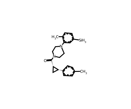 Cc1ccc([C@@H]2C[C@@H]2C(=O)N2CCN(c3cc([SiH3])ccc3C)CC2)cc1